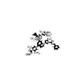 C[C@@H]1C[C@@H](n2ncc3c(N4C[C@H](C)N(C(=O)OC(C)(C)C)[C@@H](C)C4)cc(S(=O)(=O)N(COCC[Si](C)(C)C)C4(C)CC4)cc32)CN1C(=O)OCc1ccccc1